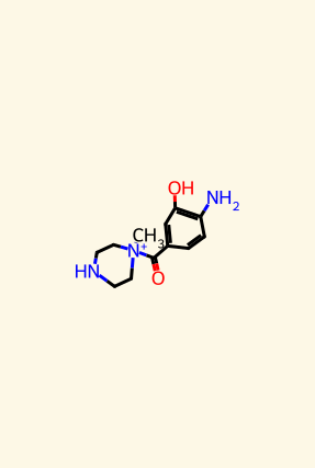 C[N+]1(C(=O)c2ccc(N)c(O)c2)CCNCC1